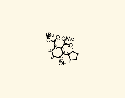 COC(=O)C1C(C2CCCC2)[C@H](O)CCN1C(=O)OC(C)(C)C